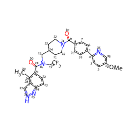 COc1ccc(-c2ccc(C(=O)N3CCC(CN(CC(F)(F)F)C(=O)c4ccc5n[nH]cc5c4C)CC3)cc2)nc1